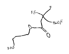 O=C(OCCO)C(F)(C(F)(F)F)S(=O)(=O)O